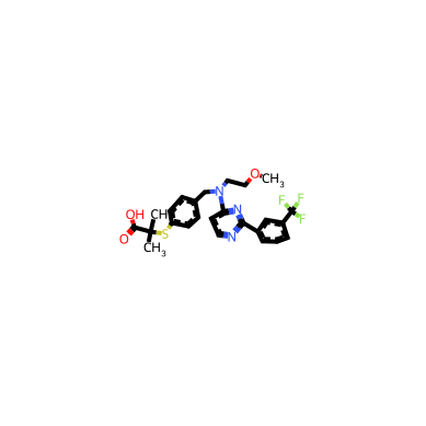 COCCN(Cc1ccc(SC(C)(C)C(=O)O)cc1)c1ccnc(-c2cccc(C(F)(F)F)c2)n1